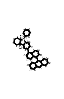 CC12CCCCC1(C)N(c1ccccc1)c1ccc(-c3cccc4c(-c5c6ccccc6cc6ccccc56)cccc34)cc12